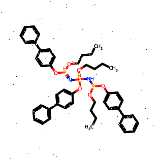 CCCCOP(N[PH](N=[PH](OCCCC)Oc1ccc(-c2ccccc2)cc1)(OCCCC)Oc1ccc(-c2ccccc2)cc1)Oc1ccc(-c2ccccc2)cc1